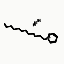 CCCCCCCCCCCC[n+]1ccccc1.I.I.I